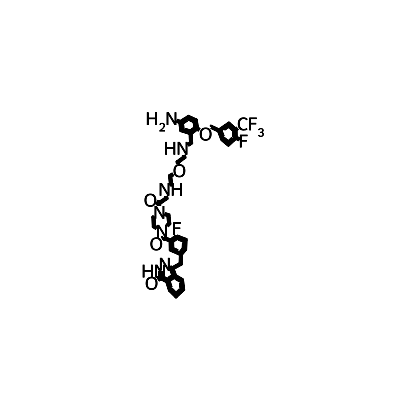 Nc1ccc(OCc2ccc(F)c(C(F)(F)F)c2)c(CNCCOCCNCC(=O)N2CCN(C(=O)c3cc(Cc4n[nH]c(=O)c5ccccc45)ccc3F)CC2)c1